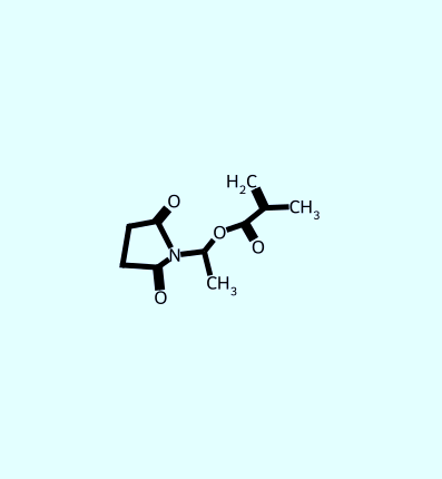 C=C(C)C(=O)OC(C)N1C(=O)CCC1=O